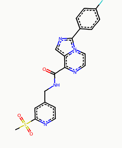 CS(=O)(=O)c1cc(CNC(=O)c2nccn3c(-c4ccc(F)cc4)ncc23)ccn1